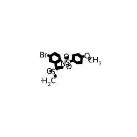 [CH2]C[S+]([O-])c1cn(S(=O)(=O)c2ccc(OC)cc2)c2ccc(Br)cc12